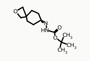 CC(C)(C)OC(=O)NN=C1CCC2(CC1)COC2